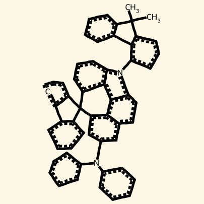 CC1(C)c2ccccc2-c2c(-n3c4cccc5c4c4c6c(cc(N(c7ccccc7)c7ccccc7)cc6ccc43)C53c4ccccc4-c4ccccc43)cccc21